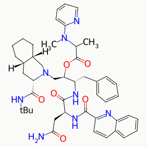 CC(C(=O)O[C@H](CN1C[C@H]2CCCC[C@H]2C[C@H]1C(=O)NC(C)(C)C)[C@H](Cc1ccccc1)NC(=O)[C@H](CC(N)=O)NC(=O)c1ccc2ccccc2n1)N(C)c1ccccn1